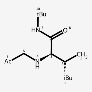 CC[C@@H](C)C(C)[C@@H](NCC(C)=O)C(=O)NC(C)(C)C